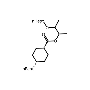 CCCCCCCOC(C)C(C)OC(=O)[C@H]1CC[C@H](CCCCC)CC1